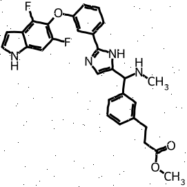 CNC(c1cccc(CCC(=O)OC)c1)c1cnc(-c2cccc(Oc3c(F)cc4[nH]ccc4c3F)c2)[nH]1